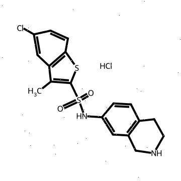 Cc1c(S(=O)(=O)Nc2ccc3c(c2)CNCC3)sc2ccc(Cl)cc12.Cl